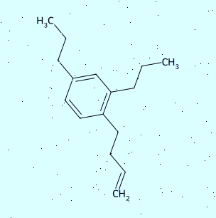 C=CCCc1ccc(CCC)cc1CCC